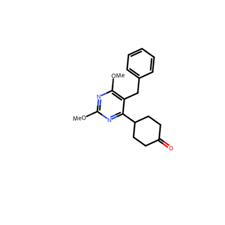 COc1nc(OC)c(Cc2ccccc2)c(C2CCC(=O)CC2)n1